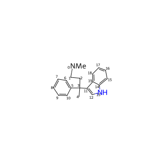 CNCCC(C)(c1ccccc1)c1c[nH]c2ccccc12